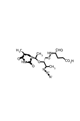 Cc1cn(C(C)O[C@H](CON[C@H](C=O)CCC(=O)O)C(C)N=[N+]=[N-])c(=O)[nH]c1=O